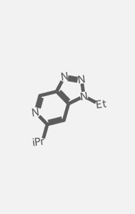 CCn1nnc2cnc(C(C)C)cc21